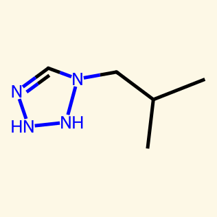 CC(C)CN1C=NNN1